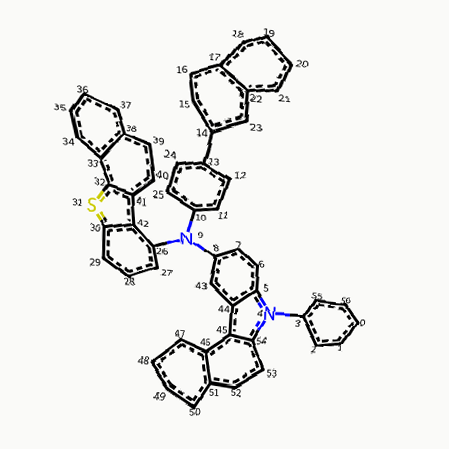 c1ccc(-n2c3ccc(N(c4ccc(-c5ccc6ccccc6c5)cc4)c4cccc5sc6c7ccccc7ccc6c45)cc3c3c4ccccc4ccc32)cc1